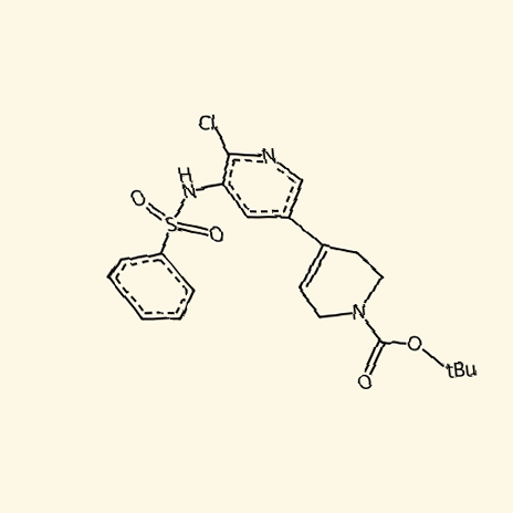 CC(C)(C)OC(=O)N1CC=C(c2cnc(Cl)c(NS(=O)(=O)c3ccccc3)c2)CC1